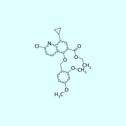 CCOC(=O)c1cc(C2CC2)c2nc(Cl)ccc2c1OCc1ccc(OC)cc1OC